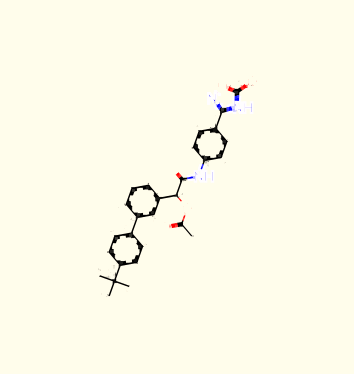 CC(=O)OC(C(=O)Nc1ccc(-c2noc(=O)[nH]2)cc1)c1cccc(-c2ccc(C(C)(C)C)cc2)c1